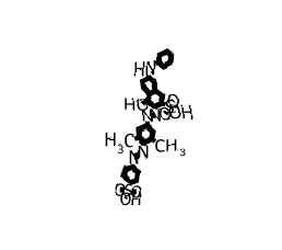 Cc1cc(N=Nc2c(S(=O)(=O)O)cc3cc(Nc4ccccc4)ccc3c2O)cc(C)c1N=Nc1ccc(S(=O)(=O)O)cc1